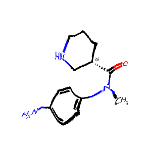 CN(C(=O)[C@H]1CCCNC1)c1ccc(N)cc1